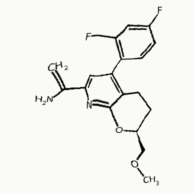 C=C(N)c1cc(-c2ccc(F)cc2F)c2c(n1)O[C@H](COC)CC2